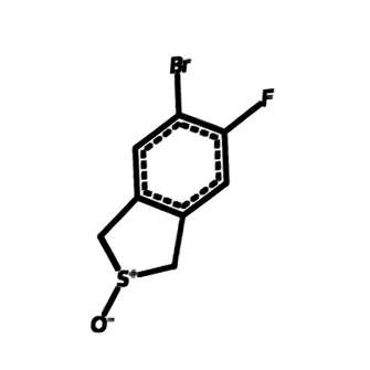 [O-][S+]1Cc2cc(F)c(Br)cc2C1